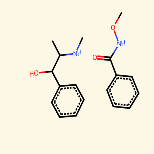 CNC(C)C(O)c1ccccc1.CONC(=O)c1ccccc1